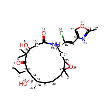 CC[C@H]1C(=O)C(C)(C)[C@@H](O)CC(=O)N[C@H](C(F)=Cc2coc(C)n2)CC2OC2(C)CCC[C@H](C)[C@@H]1O